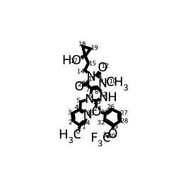 Cc1ccc(CN2c3c(n(C)c(=O)n(CCC4(O)CC4)c3=O)NC2Oc2cccc(OC(F)(F)F)c2)nc1